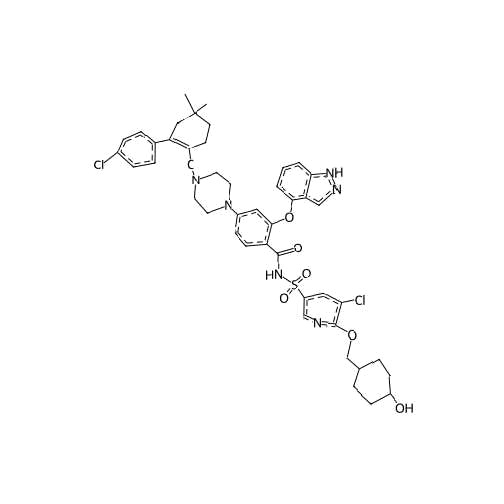 CC1(C)CCC(CN2CCN(c3ccc(C(=O)NS(=O)(=O)c4cnc(OCC5CCC(O)CC5)c(Cl)c4)c(Oc4cccc5[nH]ncc45)c3)CC2)=C(c2ccc(Cl)cc2)C1